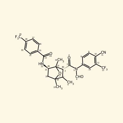 CC1[C@@H](C(=O)N(C=O)c2ccc(C#N)c(C(F)(F)F)c2)C2(C)OC1(C)C[C@H]2NC(=O)c1ccc(C(F)(F)F)cc1